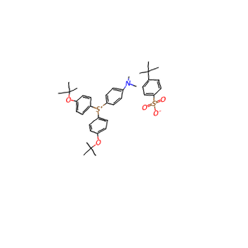 CC(C)(C)c1ccc(S(=O)(=O)[O-])cc1.CN(C)c1ccc([S+](c2ccc(OC(C)(C)C)cc2)c2ccc(OC(C)(C)C)cc2)cc1